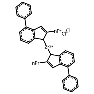 CCCC1=Cc2c(-c3ccccc3)cccc2[CH]1[Zr+2][CH]1C(CCC)=Cc2c(-c3ccccc3)cccc21.[Cl-].[Cl-]